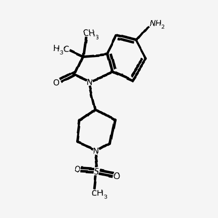 CC1(C)C(=O)N(C2CCN(S(C)(=O)=O)CC2)c2ccc(N)cc21